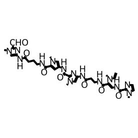 C=CN(C)/C(=C\NC(=O)c1nccn1C)C(=O)NCCC(=O)Nc1cn(C)c(C(=O)Nc2cc(C(=O)NCCCC(=O)Nc3cn(C)c(C=O)n3)n(C)c2)n1